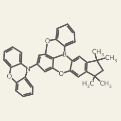 CC1(C)CC(C)(C)c2cc3c(cc21)Oc1cc(N2c4ccccc4Oc4ccccc42)cc2c1B3c1ccccc1O2